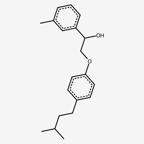 Cc1cccc(C(O)COc2ccc(CCC(C)C)cc2)c1